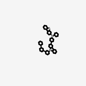 c1ccc(-c2cccc(-c3cccc(-n4c5ccccc5c5cc(-c6ccc(N(c7ccccc7)c7ccc8c(c7)sc7ccccc78)cc6)ccc54)c3)c2)cc1